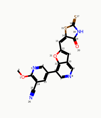 COc1ncc(-c2cncc3cc(C=C4SC(=S)NC4=O)oc23)cc1C#N